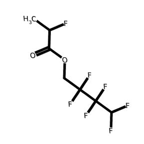 CC(F)C(=O)OCC(F)(F)C(F)(F)C(F)F